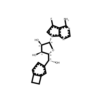 Nc1ncnc2c1c(F)cn2[C@@H]1O[C@H]([C@H](O)c2ccc3c(c2)CC3)[C@@H](O)[C@H]1O